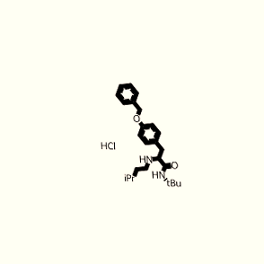 CC(C)CCNC(Cc1ccc(OCc2ccccc2)cc1)C(=O)NC(C)(C)C.Cl